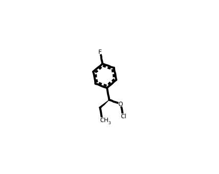 CC[C@H](OCl)c1ccc(F)cc1